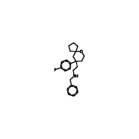 Fc1ccc(C2(CCNCc3ccccc3)CCOC3(CCCC3)C2)cc1